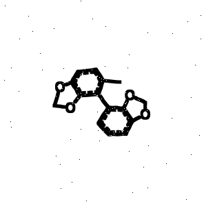 Cc1ccc2c(c1-c1cccc3c1OCO3)OCO2